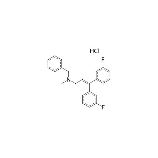 CN(CC=C(c1cccc(F)c1)c1cccc(F)c1)Cc1ccccc1.Cl